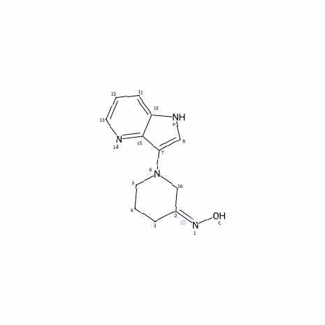 O/N=C1/CCCN(c2c[nH]c3cccnc23)C1